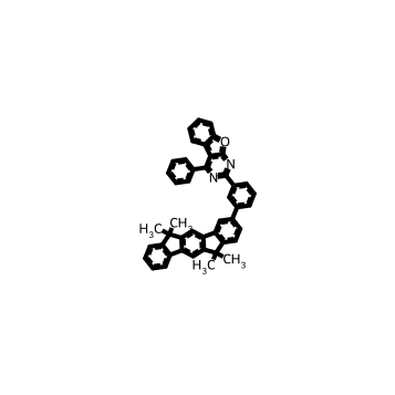 CC1(C)c2ccccc2-c2cc3c(cc21)-c1cc(-c2cccc(-c4nc(-c5ccccc5)c5c(n4)oc4ccccc45)c2)ccc1C3(C)C